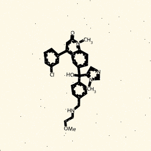 COCCNCc1ccc(C(O)(c2ccc3c(c2)c(-c2cccc(Cl)c2)cc(=O)n3C)c2cncn2C)cc1